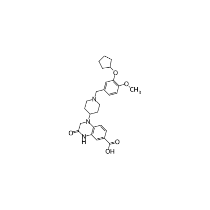 COc1ccc(CN2CCC(N3CC(=O)Nc4cc(C(=O)O)ccc43)CC2)cc1OC1CCCC1